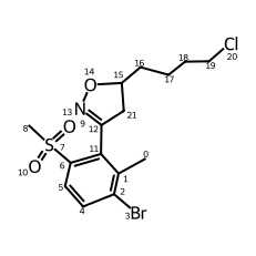 Cc1c(Br)ccc(S(C)(=O)=O)c1C1=NOC(CCCCCl)C1